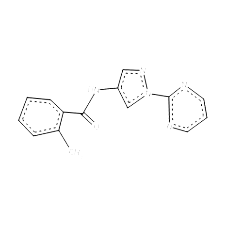 Cc1ccccc1C(=O)Nc1cnn(-c2ncccn2)c1